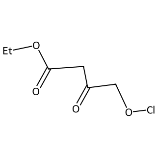 CCOC(=O)CC(=O)COCl